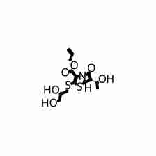 C=CCOC(=O)C1=C(SCC(O)CO)S[C@@H]2[C@@H](C(C)O)C(=O)N12